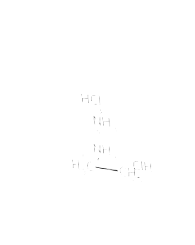 CC.Cl.Cl.N.N